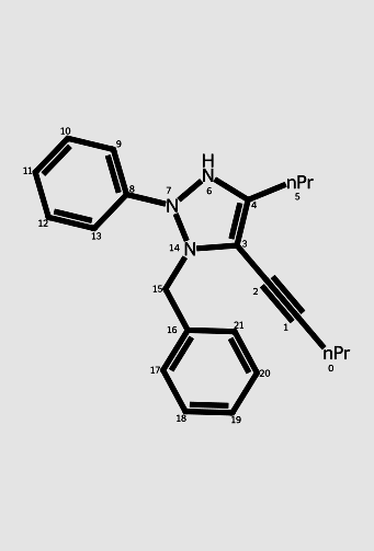 CCCC#CC1=C(CCC)NN(c2ccccc2)N1Cc1ccccc1